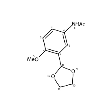 COc1ccc(NC(C)=O)cc1C1OCCO1